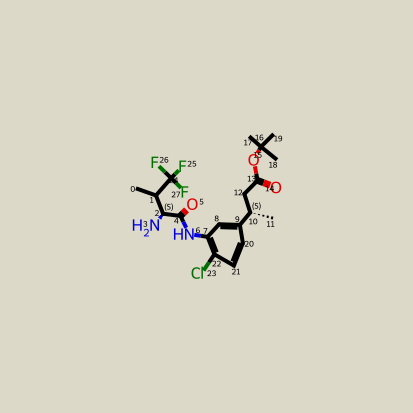 CC([C@H](N)C(=O)Nc1cc([C@@H](C)CC(=O)OC(C)(C)C)ccc1Cl)C(F)(F)F